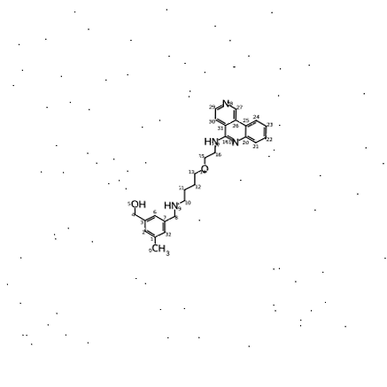 Cc1cc(CO)cc(CNCCCCOCCNc2nc3ccccc3c3cnccc23)c1